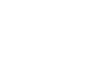 Cc1c(F)ccc2c(C3=NC(C)(C)C(F)(F)c4ccccc43)cnn12